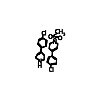 CS(=O)(=O)N1CC=C(c2ccc(Cl)cc2)CC1.Clc1ccc(C2=CCNCC2)cc1